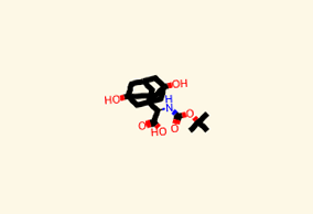 CC(C)(C)OC(=O)N[C@H](C(=O)O)C12CC3CC(O)(CC(O)(C3)C1)C2